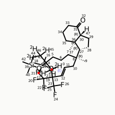 [2H]C([2H])([2H])C(CCC[C@](C)(C/C=C/C(O[Si](C)(C)C)(C(F)(F)F)C(F)(F)F)[C@H]1CC[C@H]2C(=O)CCC[C@]12C)(O[Si](C)(C)C)C([2H])([2H])[2H]